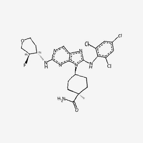 C[C@]1(C(N)=O)CC[C@@H](n2c(Nc3c(Cl)cc(Cl)cc3Cl)nc3cnc(N[C@H]4CCOC[C@@H]4F)nc32)CC1